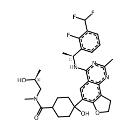 Cc1nc(N[C@@H](C)c2cccc(C(F)F)c2F)c2cc(C3(O)CCC(C(=O)N(C)C[C@H](C)O)CC3)c3c(c2n1)CCO3